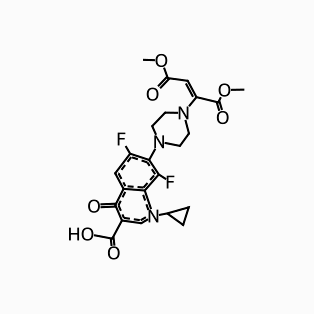 COC(=O)/C=C(/C(=O)OC)N1CCN(c2c(F)cc3c(=O)c(C(=O)O)cn(C4CC4)c3c2F)CC1